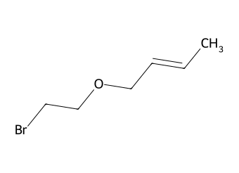 CC=CCOCCBr